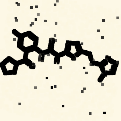 Cc1ccc(NC(=O)Nc2ncc(CSc3nncn3C)s2)c(C(=O)C2CCCC2)c1